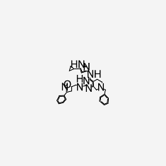 c1ccc(CN2CCc3c(nc(NCC4CC(c5ccccc5)=NO4)nc3Nc3cc(C4CC4)[nH]n3)C2)cc1